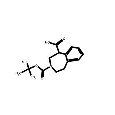 CC(C)(C)OC(=O)N1CCc2ccccc2C(C(=O)O)C1